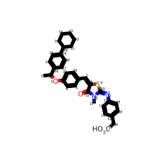 CC(Oc1ccc(C=C2SC(=Nc3ccc(CC(=O)O)cc3)N(C)C2=O)cc1)c1ccc(C2CCCCC2)cc1